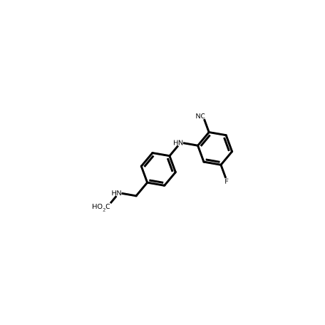 N#Cc1ccc(F)cc1Nc1ccc(CNC(=O)O)cc1